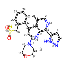 Cc1cnc(-c2ccn[nH]2)c2nc(N3CCOC[C@H]3C)cc(-c3ccccc3C[SH](=O)=O)c12